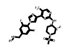 CC(C)NCc1cc(F)c(-n2cnc(-c3nc(N[C@@H]4CCN(S(C)(=O)=O)C[C@H]4F)ncc3C(F)(F)F)c2)c(F)c1